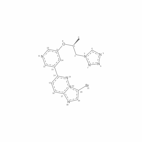 C[C@@H](Cn1cnnn1)Oc1cncc(-c2ccc3ncc(Br)n3n2)c1